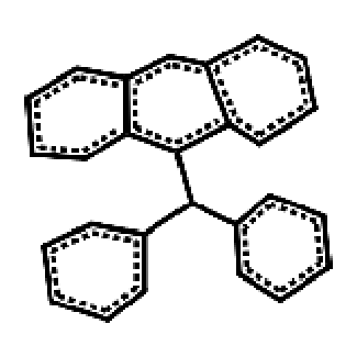 c1ccc(C(c2ccccc2)c2c3ccccc3cc3ccccc23)cc1